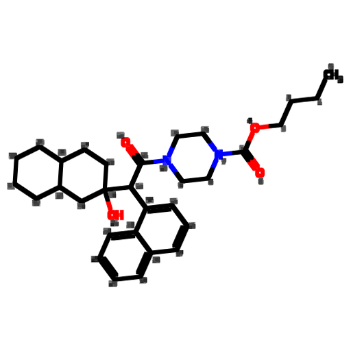 CCCCOC(=O)N1CCN(C(=O)C(c2cccc3ccccc23)C2(O)CCC3CCCCC3C2)CC1